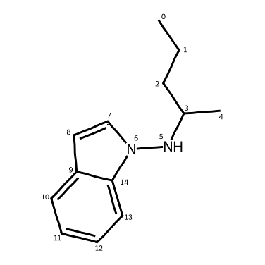 CCCC(C)Nn1[c]cc2ccccc21